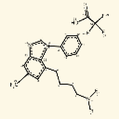 CCN(CC)CCCCc1cc(C(F)(F)F)cc2ncn(-c3ccccc3)c12.O=C(O)C(F)(F)F